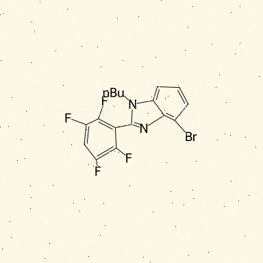 CCCCn1c(-c2c(F)c(F)cc(F)c2F)nc2c(Br)cccc21